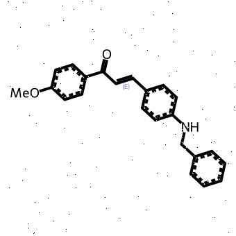 COc1ccc(C(=O)/C=C/c2ccc(NCc3ccccc3)cc2)cc1